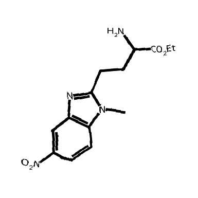 CCOC(=O)C(N)CCc1nc2cc([N+](=O)[O-])ccc2n1C